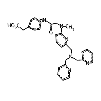 CN(CC(=O)Nc1ccc(CC(=O)O)cc1)c1cccc(CN(Cc2ccccn2)Cc2ccccn2)n1